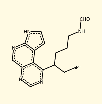 CC(C)CC(CCCNC=O)c1ncnc2cnc3[nH]ccc3c12